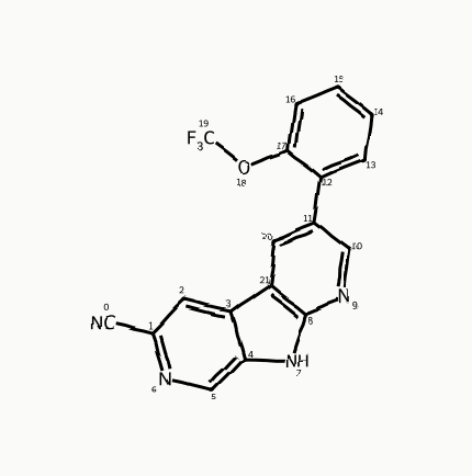 N#Cc1cc2c(cn1)[nH]c1ncc(-c3ccccc3OC(F)(F)F)cc12